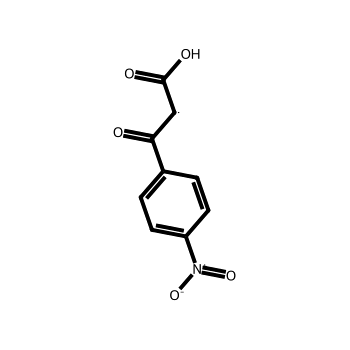 O=C(O)[CH]C(=O)c1ccc([N+](=O)[O-])cc1